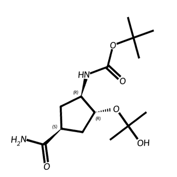 CC(C)(C)OC(=O)N[C@@H]1C[C@H](C(N)=O)C[C@H]1OC(C)(C)O